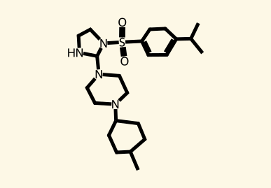 CC1CCC(N2CCN(C3NCCN3S(=O)(=O)C3=CC=C(C(C)C)CC3)CC2)CC1